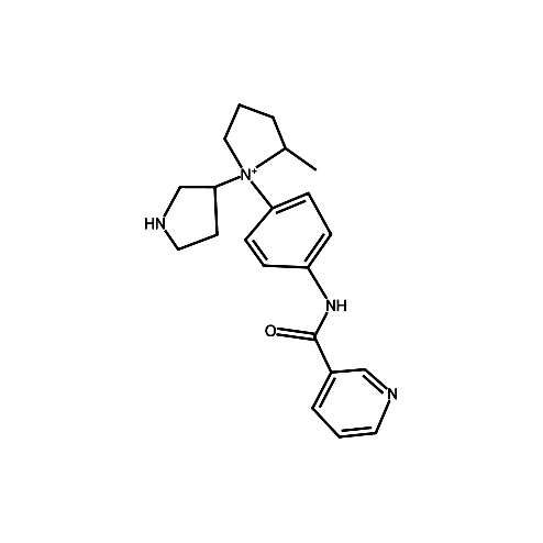 CC1CCC[N+]1(c1ccc(NC(=O)c2cccnc2)cc1)C1CCNC1